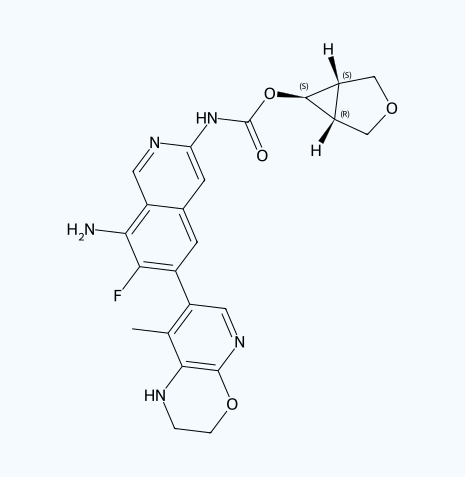 Cc1c(-c2cc3cc(NC(=O)O[C@H]4[C@@H]5COC[C@@H]54)ncc3c(N)c2F)cnc2c1NCCO2